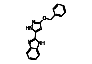 c1ccc(COc2cc(-c3nc4ccccc4[nH]3)[nH]n2)cc1